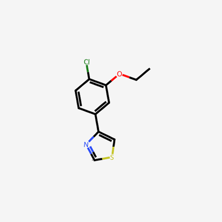 CCOc1cc(-c2cs[c]n2)ccc1Cl